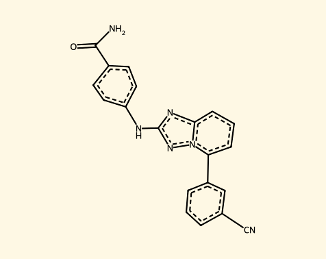 N#Cc1cccc(-c2cccc3nc(Nc4ccc(C(N)=O)cc4)nn23)c1